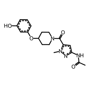 CC(=O)Nc1cc(C(=O)N2CCC(Oc3cccc(O)c3)CC2)n(C)n1